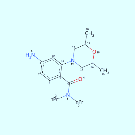 CCCN(CCC)C(=O)c1ccc(N)cc1N1CC(C)OC(C)C1